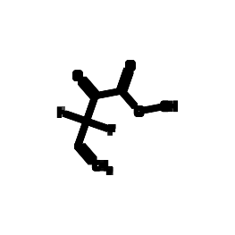 C=CC(F)(F)C(=O)C(=O)OO